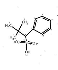 CC(C)(C)C(c1ccccc1)S(=O)(=O)O